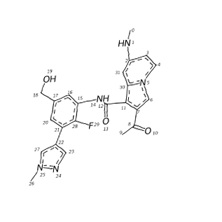 CNc1ccn2cc(C(C)=O)c(C(=O)Nc3cc(CO)cc(-c4cnn(C)c4)c3F)c2c1